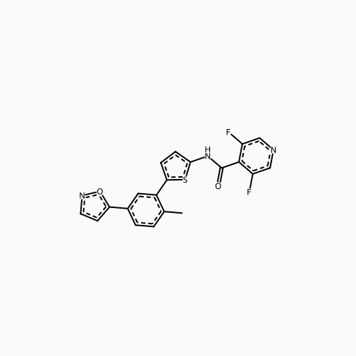 Cc1ccc(-c2ccno2)cc1-c1ccc(NC(=O)c2c(F)cncc2F)s1